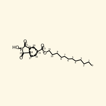 CCCCCCCCCCCCOC(=O)c1ccc2c(c1)C(=O)N(O)C2=O